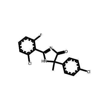 CC1(c2ccc(Cl)cc2)NC(c2c(F)cccc2Cl)=NC1=O